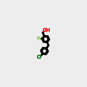 OCc1ccc(Cc2ccc(Cl)cc2)cc1F